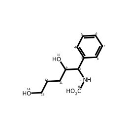 O=C(O)NC(c1ccccc1)C(O)CCCO